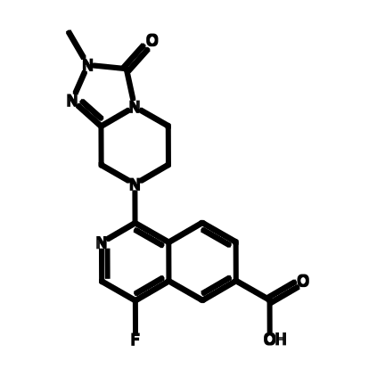 Cn1nc2n(c1=O)CCN(c1ncc(F)c3cc(C(=O)O)ccc13)C2